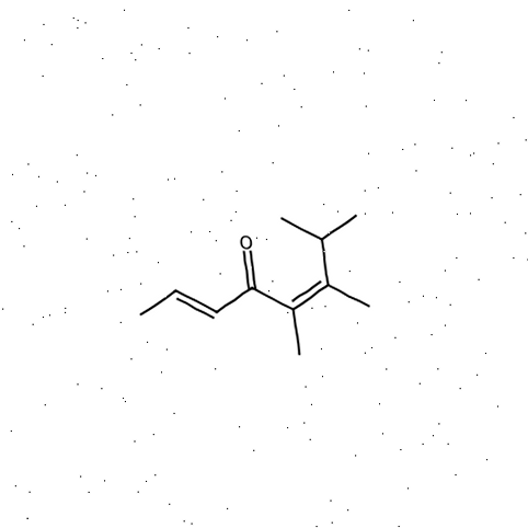 C/C=C/C(=O)/C(C)=C(/C)C(C)C